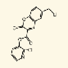 O=C(Oc1cccnc1Cl)c1cc2cc(CCl)ccc2oc1=O